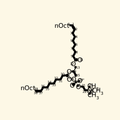 CCCCCCCC/C=C\CCCCCCCC(=O)OC[C@@H](COP(=O)([O-])OCC[N+](C)(C)C)OC(=O)CCCCCCC/C=C\CCCCCCCC